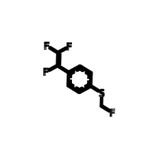 FCSc1ccc(C(F)=C(F)F)cc1